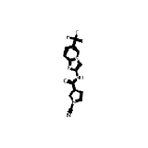 N#CN1CCC(C(=O)Nc2cn3cc(C(F)(F)F)ccc3n2)C1